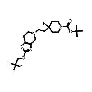 CC(C)(C)OC(=O)N1CCC(F)(CCN2CCc3sc(OCC(F)(F)F)nc3C2)CC1